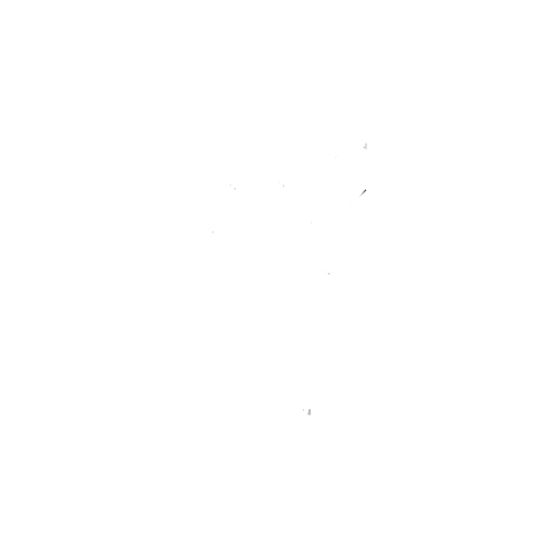 NC(=O)C1C(Nc2nc(Cl)ncc2F)C2C[C@H]1CC2NCCOc1cccc(N)c1